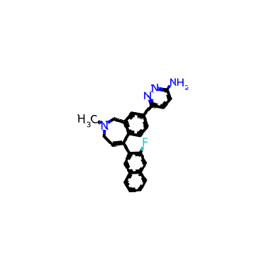 CN1CC=C(c2cc3ccccc3cc2F)c2ccc(-c3ccc(N)nn3)cc2C1